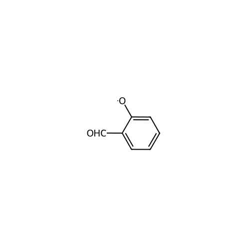 [O]c1ccccc1C=O